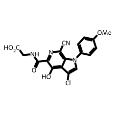 COc1ccc(-n2cc(Cl)c3c(O)c(C(=O)NCC(=O)O)nc(C#N)c32)cc1